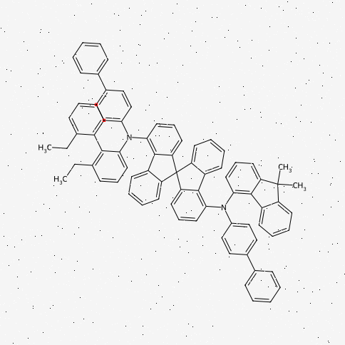 CCc1ccccc1-c1c(CC)cccc1N(c1ccc(-c2ccccc2)cc1)c1cccc2c1-c1ccccc1C21c2ccccc2-c2c(N(c3ccc(-c4ccccc4)cc3)c3cccc4c3-c3ccccc3C4(C)C)cccc21